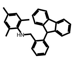 Cc1cc(C)c(NCc2ccccc2C2c3ccccc3-c3ccccc32)c(C)c1